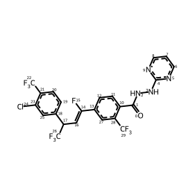 O=C(NNc1ncccn1)c1ccc(/C(F)=C/C(c2ccc(C(F)(F)F)c(Cl)c2)C(F)(F)F)cc1C(F)(F)F